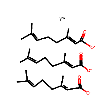 CC(C)=CCC/C(C)=C/C(=O)[O-].CC(C)=CCC/C(C)=C/C(=O)[O-].CC(C)=CCC/C(C)=C/C(=O)[O-].[Y+3]